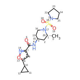 C[C@@H]1C[C@@H](NC(=O)c2cc(C3CC3)on2)CCN1S(=O)(=O)N1CCCC1